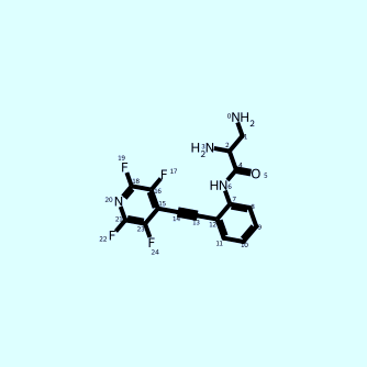 NCC(N)C(=O)Nc1ccccc1C#Cc1c(F)c(F)nc(F)c1F